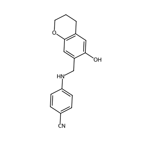 N#Cc1ccc(NCc2cc3c(cc2O)CCCO3)cc1